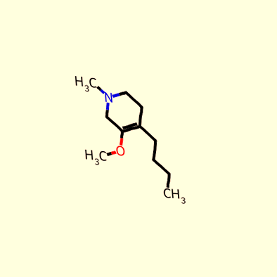 CCCCC1=C(OC)CN(C)CC1